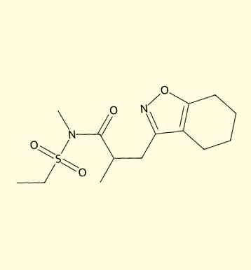 CCS(=O)(=O)N(C)C(=O)C(C)Cc1noc2c1CCCC2